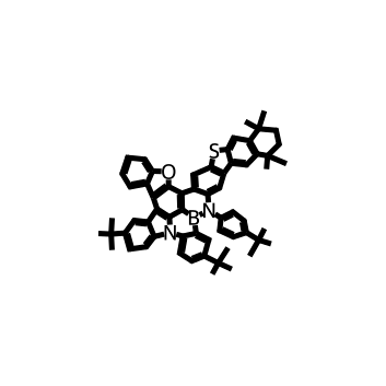 CC(C)(C)c1ccc(N2B3c4cc(C(C)(C)C)ccc4-n4c5ccc(C(C)(C)C)cc5c5c6c(oc7ccccc76)c(c3c54)-c3cc4sc5cc6c(cc5c4cc32)C(C)(C)CCC6(C)C)cc1